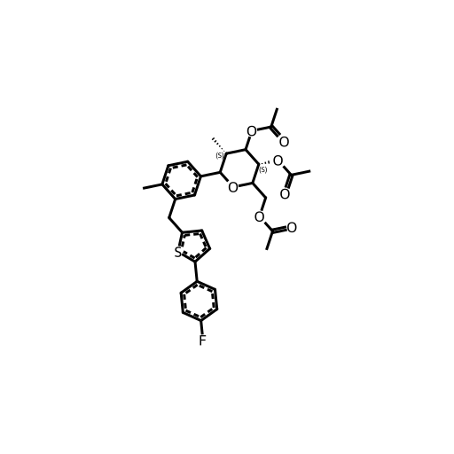 CC(=O)OCC1OC(c2ccc(C)c(Cc3ccc(-c4ccc(F)cc4)s3)c2)[C@H](C)C(OC(C)=O)[C@@H]1OC(C)=O